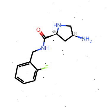 N[C@@H]1CN[C@H](C(=O)NCc2ccccc2F)C1